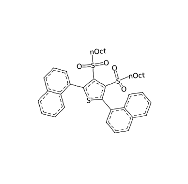 CCCCCCCCS(=O)(=O)c1c(-c2cccc3ccccc23)sc(-c2cccc3ccccc23)c1S(=O)(=O)CCCCCCCC